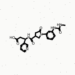 CNC(=O)Nc1cccc(N2CC(C(=O)NC(CC(=O)O)c3cccnc3)CC2=O)c1